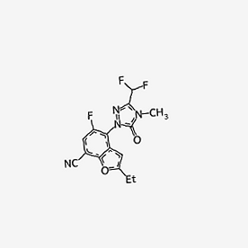 CCc1cc2c(-n3nc(C(F)F)n(C)c3=O)c(F)cc(C#N)c2o1